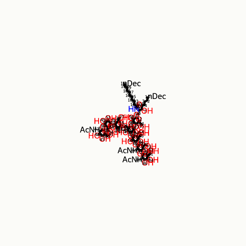 CCCCCCCCCCCCC/C=C/[C@@H](O)[C@H](CO[C@@H]1OC(CO)[C@@H](O[C@@H]2OC(CO[C@@H]3OC(CO)[C@@H](O[C@@H]4OC(CO)[C@H](O[C@@H]5OC(CO)[C@H](O)[C@H](O)C5NC(C)=O)[C@H](O)C4O)[C@H](O)C3NC(C)=O)[C@H](O)[C@H](O[C@H]3OC(CO)[C@H](O)[C@H](O[C@@H]4OC(CO)[C@H](O)[C@H](O[C@H]5OC(CO)[C@H](O)[C@H](O)C5NC(C)=O)C4NC(C)=O)C3O)C2O)[C@H](O)C1O)NC(=O)CCCCCCCCCCCCCCCCCCC